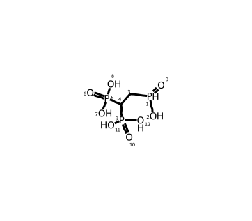 O=[PH](O)CC(P(=O)(O)O)P(=O)(O)O